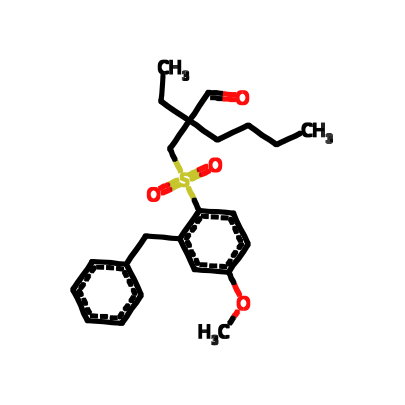 CCCCC(C=O)(CC)CS(=O)(=O)c1ccc(OC)cc1Cc1ccccc1